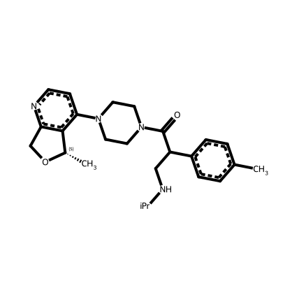 Cc1ccc(C(CNC(C)C)C(=O)N2CCN(c3ccnc4c3[C@H](C)OC4)CC2)cc1